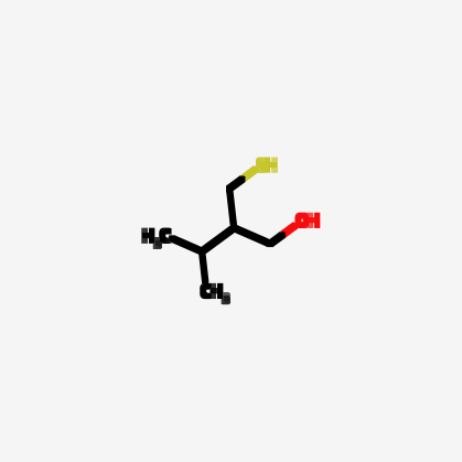 CC(C)C(CO)CS